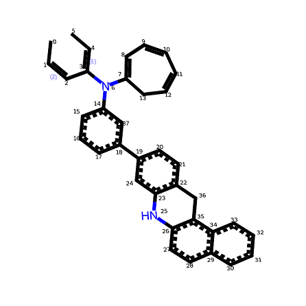 C/C=C\C(=C/C)N(C1=CC=CC=CC1)c1cccc(-c2ccc3c(c2)Nc2ccc4ccccc4c2C3)c1